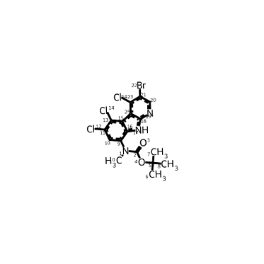 CN(C(=O)OC(C)(C)C)c1cc(Cl)c(Cl)c2c1[nH]c1ncc(Br)c(Cl)c12